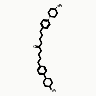 CCCC1CCC(c2ccc(CCCCC(=O)CCCCc3ccc([C@H]4CC[C@H](CCC)CC4)cc3)cc2)CC1